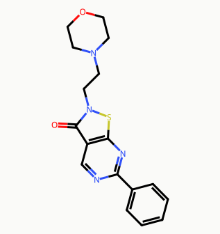 O=c1c2cnc(-c3ccccc3)nc2sn1CCN1CCOCC1